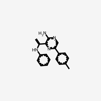 C=C(Nc1ccccc1)c1nc(-c2ccc(C)cc2)cnc1N